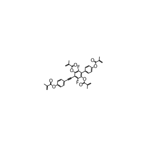 C=C(C)C(=O)Oc1ccc(C#Cc2c(F)c(OC(=O)C(=C)C)c(-c3ccc(OC(=O)C(=C)C)cc3)c(F)c2OC(=O)C(=C)C)cc1